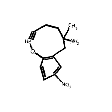 CC1(N)CCC#[PH]Oc2ccc([N+](=O)[O-])cc2C1